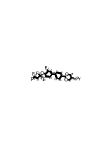 CCCC1COC(c2ccc(-c3cc(F)c(OC(F)(F)C=C(F)F)c(F)c3)cc2)OC1